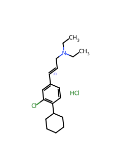 CCN(CC)C/C=C/c1ccc(C2CCCCC2)c(Cl)c1.Cl